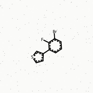 Fc1c(Br)cccc1-c1ccsc1